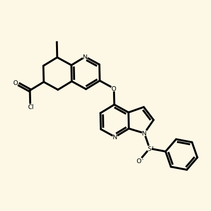 CC1CC(C(=O)Cl)Cc2cc(Oc3ccnc4c3ccn4[S+]([O-])c3ccccc3)cnc21